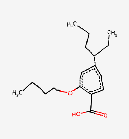 CCCCOc1cc(C(CC)CCC)ccc1C(=O)O